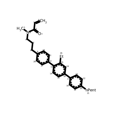 C=CC(=O)N(C)CCCc1ccc(-c2ccc(-c3ccc(CCCCC)cc3)cc2CC)cc1